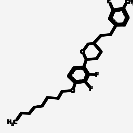 CCCCCCCCOc1ccc(C2CCC(CCc3ccc(C)c(F)c3)CO2)c(F)c1F